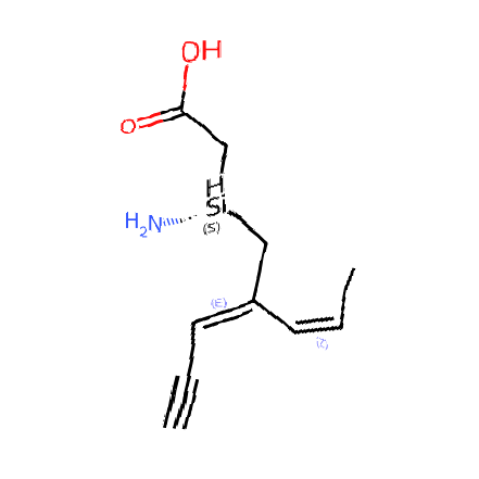 C#C/C=C(\C=C/C)C[Si@H](N)CC(=O)O